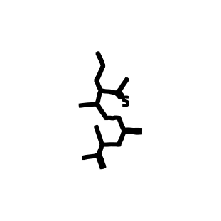 C=C(CCC(C)C(CCC)C(C)=S)CC(C)C(=C)C